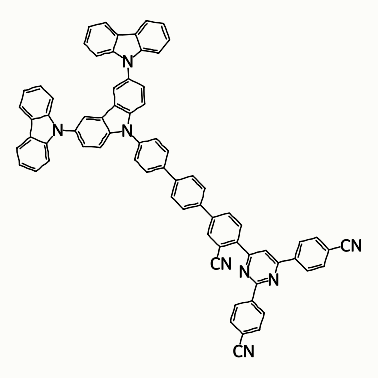 N#Cc1ccc(-c2cc(-c3ccc(-c4ccc(-c5ccc(-n6c7ccc(-n8c9ccccc9c9ccccc98)cc7c7cc(-n8c9ccccc9c9ccccc98)ccc76)cc5)cc4)cc3C#N)nc(-c3ccc(C#N)cc3)n2)cc1